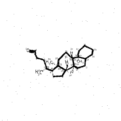 C[C@H](CCC=O)[C@H]1CC[C@H]2[C@@H]3CCC4CCCC[C@]4(C)[C@H]3CC[C@]12C